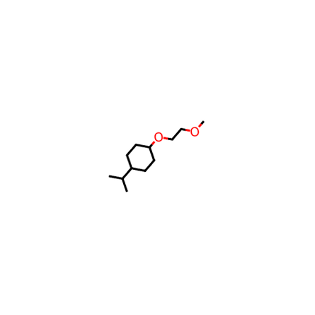 COCCOC1CCC(C(C)C)CC1